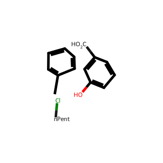 CCCCCCl.Cc1ccccc1.O=C(O)c1cccc(O)c1